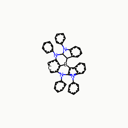 c1ccc(N2c3cccc4c3B(c3c2n(-c2ccccc2)c2ccccc32)C2c3ccccc3N(c3ccccc3)C2N4c2ccccc2)cc1